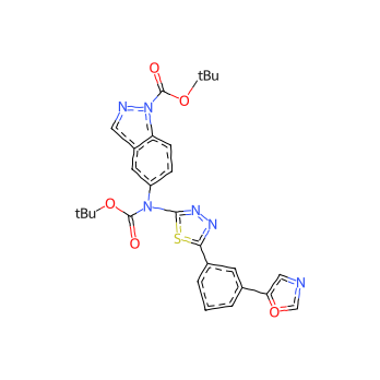 CC(C)(C)OC(=O)N(c1ccc2c(cnn2C(=O)OC(C)(C)C)c1)c1nnc(-c2cccc(-c3cnco3)c2)s1